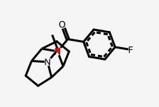 CCN1C2CCC1C1CCC2N1C(=O)c1ccc(F)cc1